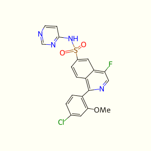 COc1cc(Cl)ccc1-c1ncc(F)c2cc(S(=O)(=O)Nc3ccncn3)ccc12